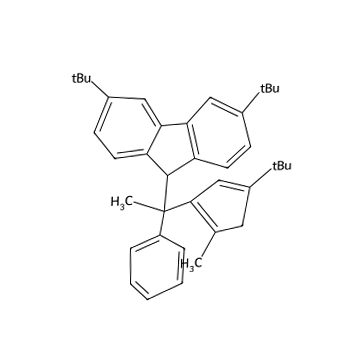 CC1=C(C(C)(c2ccccc2)C2c3ccc(C(C)(C)C)cc3-c3cc(C(C)(C)C)ccc32)C=C(C(C)(C)C)C1